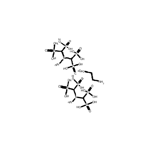 CCCCCCCCCCCCN.CCCN(C(P(=O)(O)O)P(=O)(O)O)C(P(=O)(O)O)P(=O)(O)O.CCCN(C(P(=O)(O)O)P(=O)(O)O)C(P(=O)(O)O)P(=O)(O)O